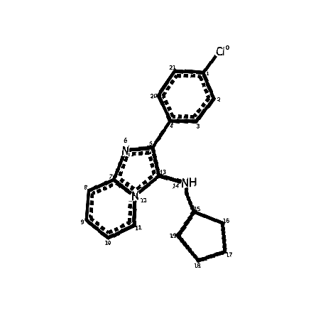 Clc1ccc(-c2nc3ccccn3c2NC2CCCC2)cc1